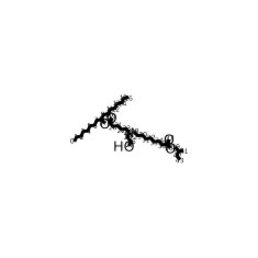 CCCCCCCCC(CCCCCCCC)OC(=O)CCCCN(CCO)CCCCCCCCC(=O)OCC(C)CC